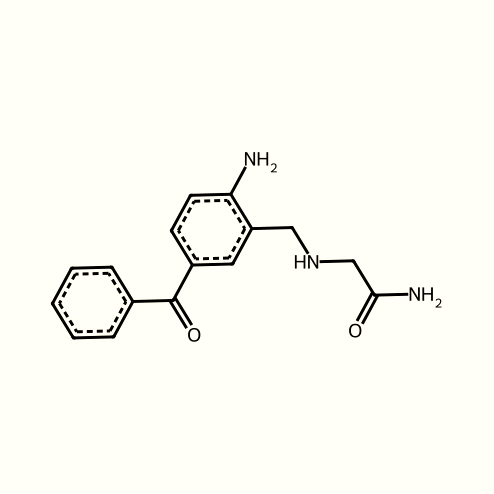 NC(=O)CNCc1cc(C(=O)c2ccccc2)ccc1N